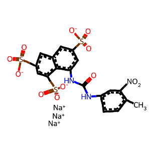 Cc1ccc(NC(=O)Nc2cc(S(=O)(=O)[O-])cc3cc(S(=O)(=O)[O-])cc(S(=O)(=O)[O-])c23)cc1[N+](=O)[O-].[Na+].[Na+].[Na+]